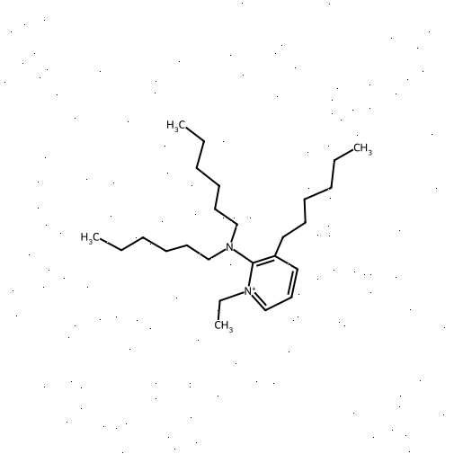 CCCCCCc1ccc[n+](CC)c1N(CCCCCC)CCCCCC